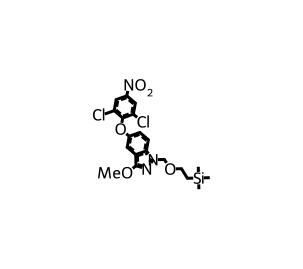 COc1nn(COCC[Si](C)(C)C)c2ccc(Oc3c(Cl)cc([N+](=O)[O-])cc3Cl)cc12